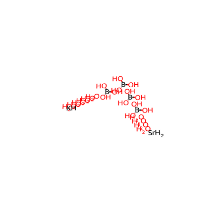 O.O.O.O.O.O.O.O.O.O.OB(O)O.OB(O)O.OB(O)O.OB(O)O.[KH].[SrH2]